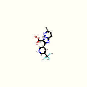 Cc1ccc2nc(-c3cncc(C(F)(F)F)c3)c(C(=O)O)n2n1